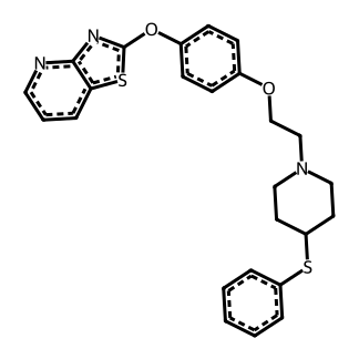 c1ccc(SC2CCN(CCOc3ccc(Oc4nc5ncccc5s4)cc3)CC2)cc1